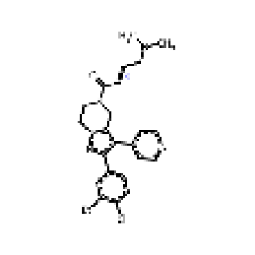 CCc1cc(-c2nn3c(c2-c2ccncc2)CN(C(=O)/C=C/CN(C)C)CC3)ccc1Cl